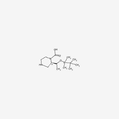 CC(O[Si](C)(C)C(C)(C)C)[C@H]1CNCCN1C(=O)O